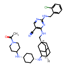 CC(=O)N1CCC(N[C@H]2CC[C@@H](NC3C4CC5C[C@@H]3C[C@@](CNc3nc(NCc6ccccc6Cl)ncc3C#N)(C5)C4)CC2)CC1